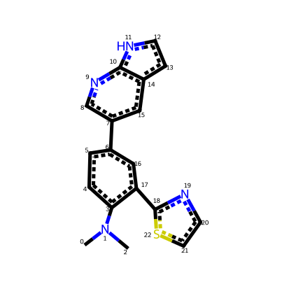 CN(C)c1ccc(-c2cnc3[nH]ccc3c2)cc1-c1nccs1